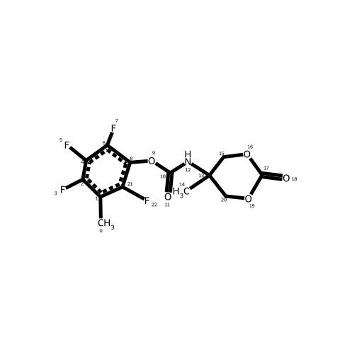 Cc1c(F)c(F)c(F)c(OC(=O)NC2(C)COC(=O)OC2)c1F